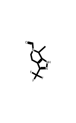 CC1c2[nH]nc(C(F)(F)F)c2CCN1C=O